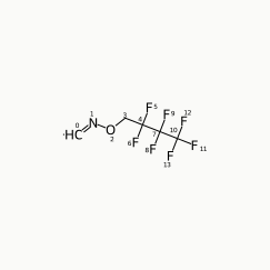 [CH]=NOCC(F)(F)C(F)(F)C(F)(F)F